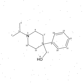 CC(C)N1CCC(CO)(c2ccccc2)CC1